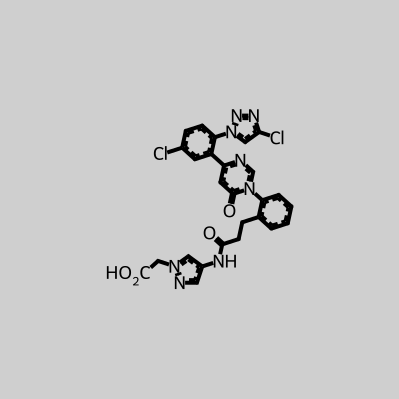 O=C(O)Cn1cc(NC(=O)CCc2ccccc2-n2cnc(-c3cc(Cl)ccc3-n3cc(Cl)nn3)cc2=O)cn1